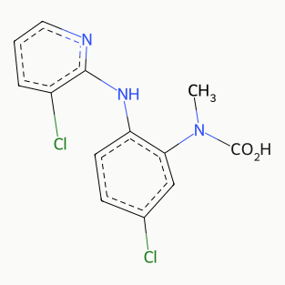 CN(C(=O)O)c1cc(Cl)ccc1Nc1ncccc1Cl